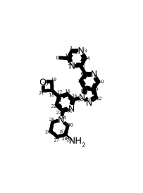 Cc1cncc(-c2cc3c(cn2)cnn3-c2cc(C3COC3)cc(N3CCC[C@H](N)C3)n2)n1